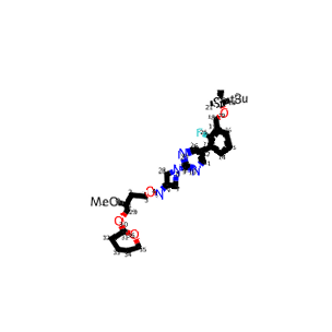 COC(CCON=C1CN(c2ncc(-c3cccc(CO[Si](C)(C)C(C)(C)C)c3F)cn2)C1)COC1CCCCO1